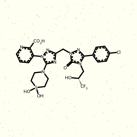 O=C(O)c1ncccc1-n1nc(Cn2nc(-c3ccc(Cl)cc3)n(C[C@@H](O)C(F)(F)F)c2=O)nc1N1CCS(O)(O)CC1